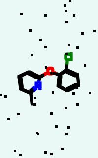 [CH2]c1cccc(Oc2ccccc2Cl)n1